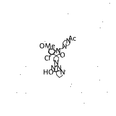 COc1ccc(Cl)c2c1N(CCN1CCN(C(C)=O)CC1)C(=O)C21CCN(c2nc(O)c3c(n2)N(C)CCC3)CC1